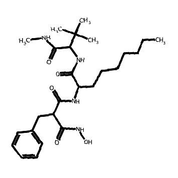 CCCCCCCC(NC(=O)C(Cc1ccccc1)C(=O)NO)C(=O)NC(C(=O)NC)C(C)(C)C